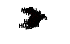 COC(=O)C(CNC1(C)CC(OC2C(Oc3c4cc5cc3Oc3ccc(cc3Cl)[C@@H](O)[C@@H]3NC(=O)C(NC(=O)C5NC(=O)CC(C(N)=O)NC(=O)[C@@H](NC(=O)[C@H](N)CC(C)C)C(O)c5ccc(c(Cl)c5)O4)c4ccc(O)c(c4)-c4c(O)cc(O)cc4C(C(=O)O)NC3=O)OC(CO)C(O)C2O)OC(C)C1O)OCc1ccc(Cl)cc1